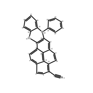 N#Cc1ccc2ccc3c4c(cc5ccc1c2c53)B(c1ccccc1)c1ccccc1O4